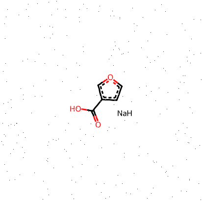 O=C(O)c1ccoc1.[NaH]